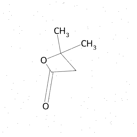 CC1(C)CC(=O)O1